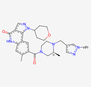 CCCn1cc(CN2CCN(C(=O)c3cc4c(cc3C)[nH]c(=O)c3cnn(C5CCOCC5)c34)C[C@@H]2C)cn1